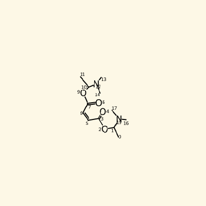 CC(OC(=O)/C=C\C(=O)OC(C)N(C)C)N(C)C